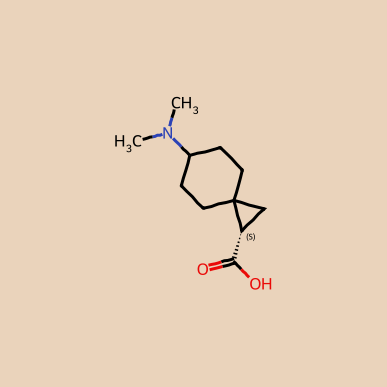 CN(C)C1CCC2(CC1)C[C@@H]2C(=O)O